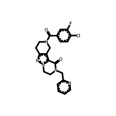 O=C(c1ccc(Cl)c(F)c1)N1CCc2nn3c(c2C1)C(=O)N(Cc1ccccn1)CC3